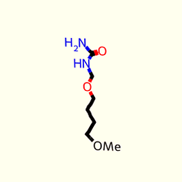 COCCCCOCNC(N)=O